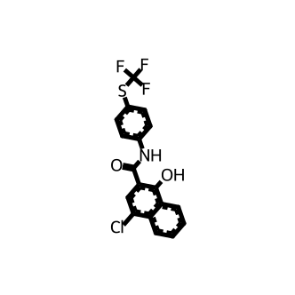 O=C(Nc1ccc(SC(F)(F)F)cc1)c1cc(Cl)c2ccccc2c1O